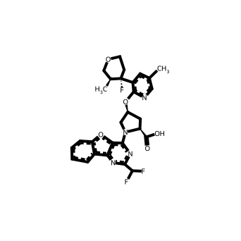 Cc1cnc(O[C@H]2C[C@@H](C(=O)O)N(c3nc(C(F)F)nc4c3oc3ccccc34)C2)c([C@]2(F)CCOC[C@@H]2C)c1